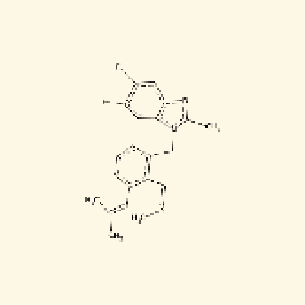 C/N=C\c1c(C=C(C)C)cccc1Cn1c(C)nc2cc(F)c(F)cc21